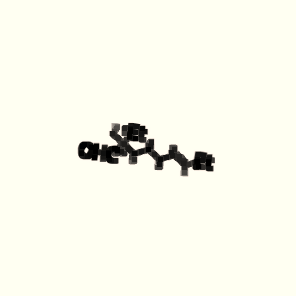 CCC=CCCCC(C)(C=O)CC